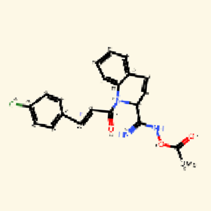 COC(=O)ONC(=N)C1C=Cc2ccccc2N1C(=O)/C=C/c1ccc(Cl)cc1